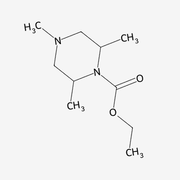 CCOC(=O)N1C(C)CN(C)CC1C